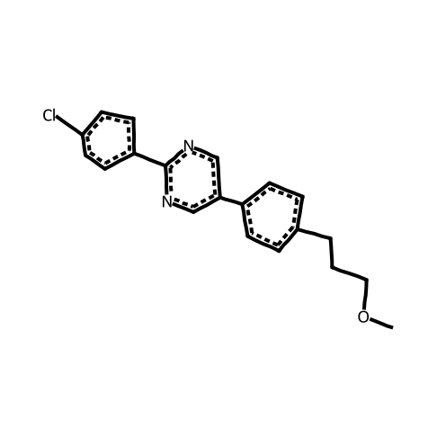 COCCCc1ccc(-c2cnc(-c3ccc(Cl)cc3)nc2)cc1